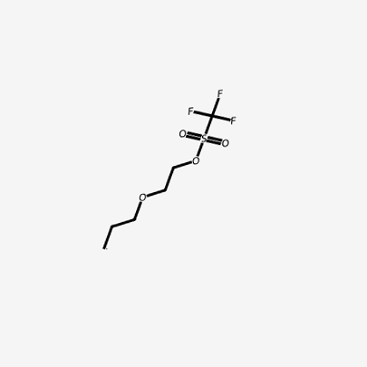 [CH2]CCOCCOS(=O)(=O)C(F)(F)F